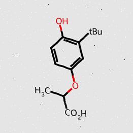 CC(Oc1ccc(O)c(C(C)(C)C)c1)C(=O)O